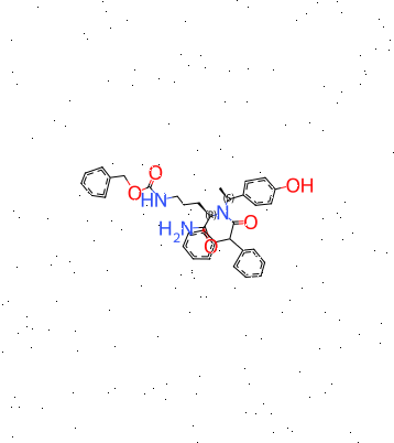 C[C@@H](c1ccc(O)cc1)N(C(=O)C(c1ccccc1)c1ccccc1)[C@H](CCCNC(=O)OCc1ccccc1)C(N)=O